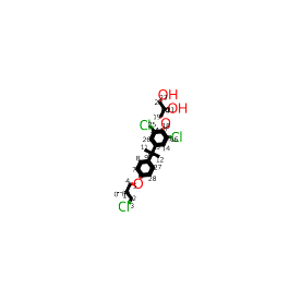 C[C@@H](CCl)COc1ccc(C(C)(C)c2cc(Cl)c(OC[C@H](O)CO)c(Cl)c2)cc1